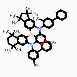 Cc1cc(-c2ccccc2)ccc1N1c2cc3c(cc2B2c4cc5c(cc4N(c4ccc(C(C)(C)C)cc4-c4ccccc4)c4cc(C(C)(C)C)cc1c42)C(C)(C)CCC5(C)C)C(C)(C)CC3(C)C